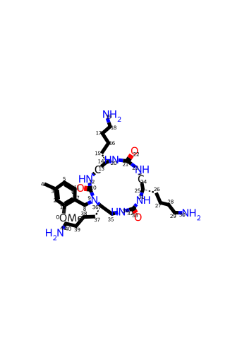 COc1cc(C)ccc1CN1C(=O)NC[C@H](CCCCN)NC(=O)NC[C@H](CCCCN)NC(=O)NC[C@@H]1CCCCN